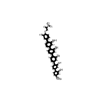 CCN(CC)C(=O)COc1ccc(-c2ccc(-c3ccc(-c4ccc(-c5ccc(-c6ccc(C(C)(C)C)cc6S)cc5S)cc4S)cc3S)cc2S)cc1S